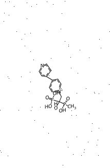 CP(=O)(O)C(O)(C[n+]1ccc(-c2ccncc2)cc1)P(=O)(O)O